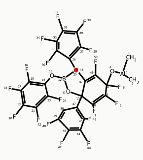 [CH3][Al]([CH3])[O]C1(F)C(F)=C(F)C(OB(Oc2c(F)c(F)c(F)c(F)c2F)Oc2c(F)c(F)c(F)c(F)c2F)(c2cc(F)c(F)c(F)c2F)C(F)=C1F